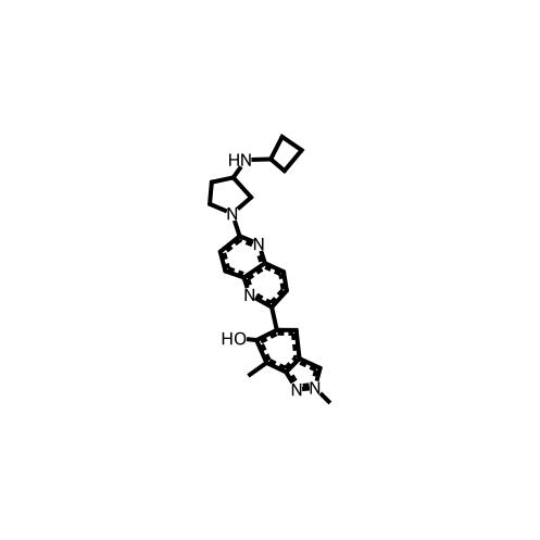 Cc1c(O)c(-c2ccc3nc(N4CCC(NC5CCC5)C4)ccc3n2)cc2cn(C)nc12